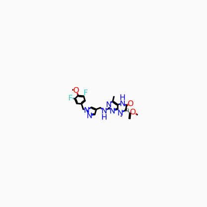 C=C(OC)[C@H]1C(=O)Nc2c(C)nc(NCc3cnn(Cc4cc(F)c(OC)c(F)c4)c3)nc2N1C